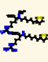 N=C(N)NCCC[C@H](NCCCCCC1CCSS1)C(=O)[O-].N=C(N)NCCC[C@H](NCCCCCC1CCSS1)C(=O)[O-].[Mg+2]